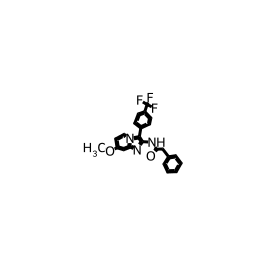 COc1ccn2c(-c3ccc(C(F)(F)F)cc3)c(NC(=O)Cc3ccccc3)nc2c1